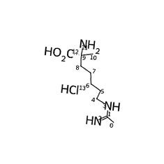 CC(=N)NCCCCC[C@](C)(N)C(=O)O.Cl